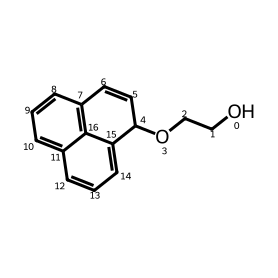 OCCOC1C=Cc2cccc3cccc1c23